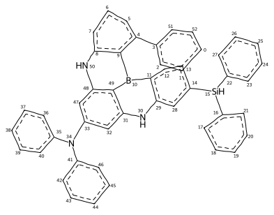 c1ccc(-c2cccc3c2B2c4ccc([SiH](c5ccccc5)c5ccccc5)cc4Nc4cc(N(c5ccccc5)c5ccccc5)cc(c42)N3)cc1